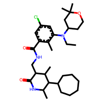 CCN(c1cc(Cl)cc(C(=O)NCC2C(=O)NC(C)C(C3CCCCCC3)C2C)c1C)C1CCOC(C)(C)C1